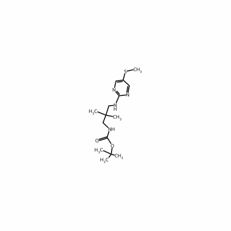 CSc1cnc(NCC(C)(C)CNC(=O)OC(C)(C)C)nc1